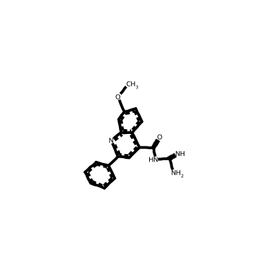 COc1ccc2c(C(=O)NC(=N)N)cc(-c3ccccc3)nc2c1